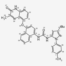 Cc1ccc(-n2nc(C(C)(C)C)cc2NC(=O)Nc2ccc(Oc3ccnc4[nH]c(=O)c(C)nc34)c3ccccc23)cc1